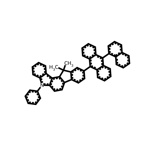 CC1(C)c2cc(-c3c4ccccc4c(-c4cccc5ccccc45)c4ccccc34)ccc2-c2ccc3c(c21)c1ccccc1n3-c1ccccc1